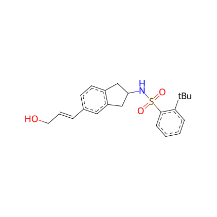 CC(C)(C)c1ccccc1S(=O)(=O)NC1Cc2ccc(C=CCO)cc2C1